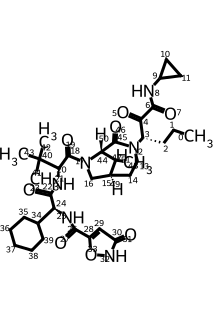 CCC[C@@H](C(=O)C(=O)NC1CC1)N1CC[C@H]2CN(C(=O)[C@@H](NC(=O)[C@@H](NC(=O)c3cc(=O)[nH]o3)C3CCCCC3)C(C)(C)C)[C@H](C1=O)[C@H]2C